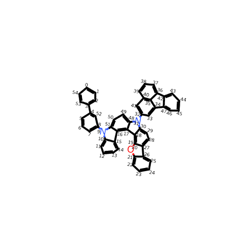 c1ccc(-c2cccc(-n3c4ccccc4c4c5c6c7oc8ccccc8c7ccc6n(-c6cc7c8c(cccc8c6)-c6ccccc6-7)c5ccc43)c2)cc1